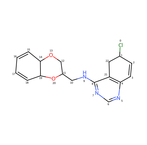 ClC1C=Cc2ncnc(NCC3COC4C=CC=CC4O3)c2C1